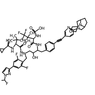 CC(C)(C)C(NC(=O)C1CC1)C(=O)NN(Cc1c(F)cc(-c2ccn(C(F)F)n2)cc1F)CC(O)C(Cc1ccc(C#Cc2ccc(N3CC4CCC(C3)N4C3COC3)nc2)cc1)NC(=O)C(NC(=O)O)C(C)(C)C(F)(F)F